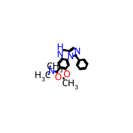 CCOc1cc2c(cc1C(=O)N(C)C)NCc1cnc(-c3ccccc3)n1-2